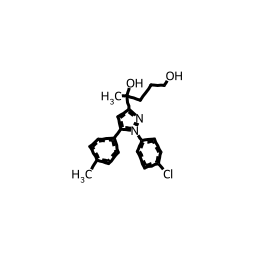 Cc1ccc(-c2cc(C(C)(O)CCCO)nn2-c2ccc(Cl)cc2)cc1